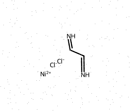 N=CC=N.[Cl-].[Cl-].[Ni+2]